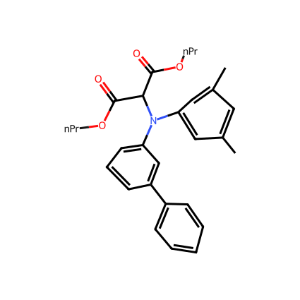 CCCOC(=O)C(C(=O)OCCC)N(c1cc(C)cc(C)c1)c1cccc(-c2ccccc2)c1